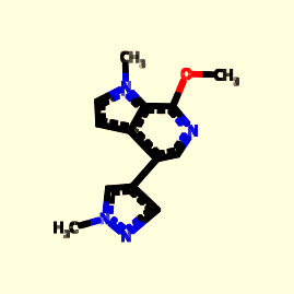 COc1ncc(-c2cnn(C)c2)c2ccn(C)c12